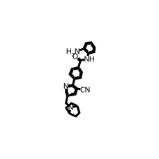 N#Cc1cc(CN2C3CCC2CC3)cnc1-c1ccc(C(=O)Nc2ccccc2N)cc1